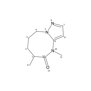 CC1CCCn2nccc2N(C)C1=O